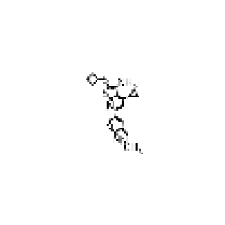 Cn1cc2cc(-c3cc(C4CC4)c4c(N)c(SC5CCC5)sc4n3)cnc2n1